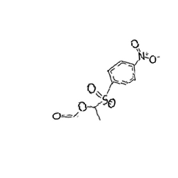 CC(O[C]=O)S(=O)(=O)c1ccc([N+](=O)[O-])cc1